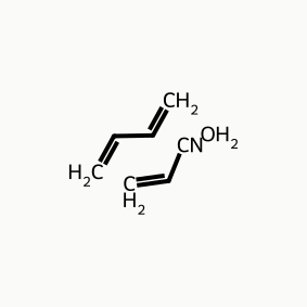 C=CC#N.C=CC=C.O